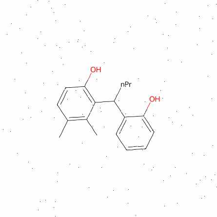 CCCC(c1ccccc1O)c1c(O)ccc(C)c1C